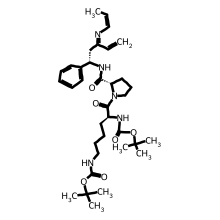 C=C/C(C[C@H](NC(=O)[C@@H]1CCCN1C(=O)[C@H](CCCCNC(=O)OC(C)(C)C)NC(=O)OC(C)(C)C)c1ccccc1)=N\C=C/C